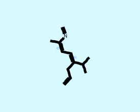 C=CC/C(=C\C=C(\C)N=C)C(C)C